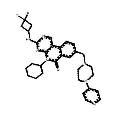 O=c1c2cc(CN3CCN(c4ccncc4)CC3)ccc2c2cnc(NC3CC(F)(F)C3)nc2n1C1CCCCC1